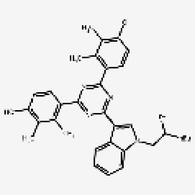 CCCCC(CC)Cn1cc(-c2nc(-c3ccc(O)c(C)c3C)nc(-c3ccc(O)c(C)c3C)n2)c2ccccc21